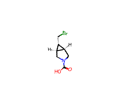 O=C(O)N1C[C@@H]2[C@@H](CBr)[C@@H]2C1